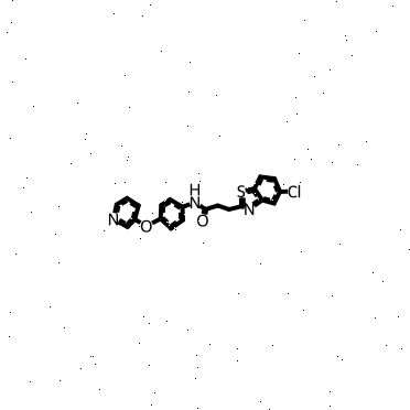 O=C(CCc1nc2cc(Cl)ccc2s1)Nc1ccc(Oc2cccnc2)cc1